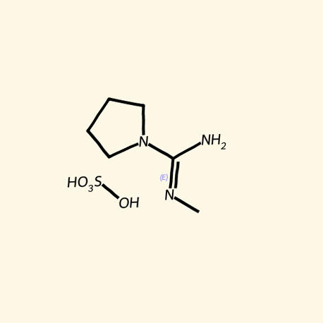 C/N=C(\N)N1CCCC1.O=S(=O)(O)O